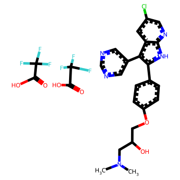 CN(C)CC(O)COc1ccc(-c2[nH]c3ncc(Cl)cc3c2-c2cncnc2)cc1.O=C(O)C(F)(F)F.O=C(O)C(F)(F)F